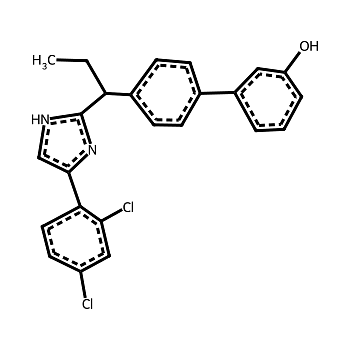 CCC(c1ccc(-c2cccc(O)c2)cc1)c1nc(-c2ccc(Cl)cc2Cl)c[nH]1